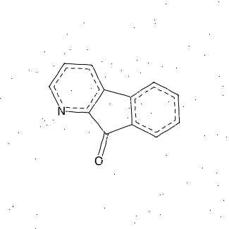 O=C1c2ccccc2-c2cccnc21